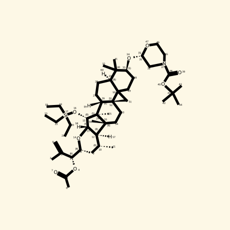 C=C(C)[C@@H](OC(C)=O)[C@H]1C[C@@H](C)[C@H]2[C@H](O1)[C@H](O[Si](CC)(CC)CC)[C@@]1(C)[C@@H]3CC[C@H]4C(C)(C)[C@@H](O[C@H]5CN(C(=O)OC(C)(C)C)CCO5)CCC45C[C@@]35CC[C@]21C